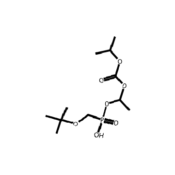 CC(C)OC(=O)OC(C)OP(=O)(O)COC(C)(C)C